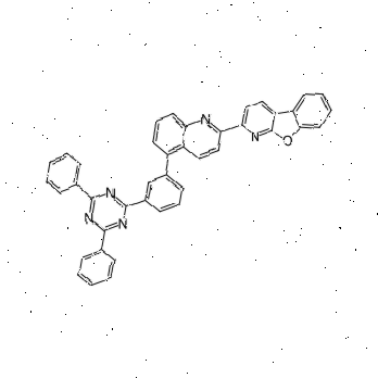 c1ccc(-c2nc(-c3ccccc3)nc(-c3cccc(-c4cccc5nc(-c6ccc7c(n6)oc6ccccc67)ccc45)c3)n2)cc1